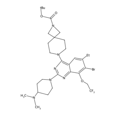 CCc1cc2c(N3CCC4(CC3)CN(C(=O)OC(C)(C)C)C4)nc(N3CCC(N(C)C)CC3)nc2c(OCC(F)(F)F)c1Br